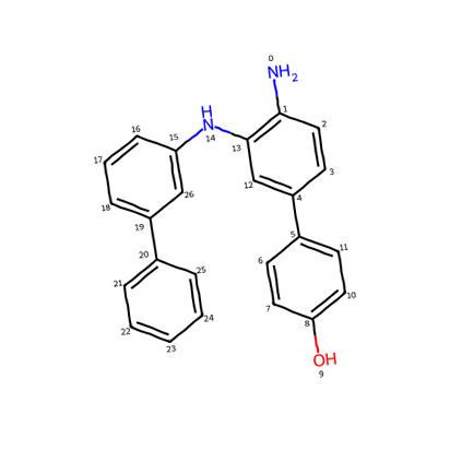 Nc1ccc(-c2ccc(O)cc2)cc1Nc1cccc(-c2ccccc2)c1